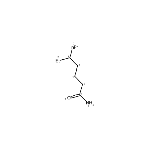 CCCC(CC)CCCC(N)=O